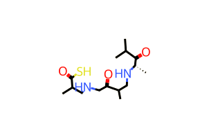 CC(C)C(=O)[C@H](C)NCC(C)C(=O)CNCC(C)C(=O)S